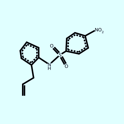 C=CCc1ccccc1NS(=O)(=O)c1ccc([N+](=O)[O-])cc1